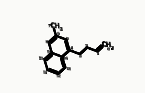 C=CCCc1cc(C)cc2ccccc12